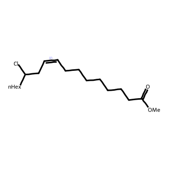 CCCCCCC(Cl)C/C=C\CCCCCCCC(=O)OC